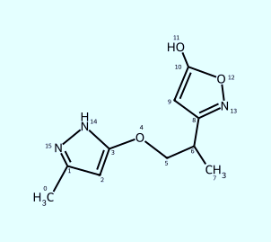 Cc1cc(OCC(C)c2cc(O)on2)[nH]n1